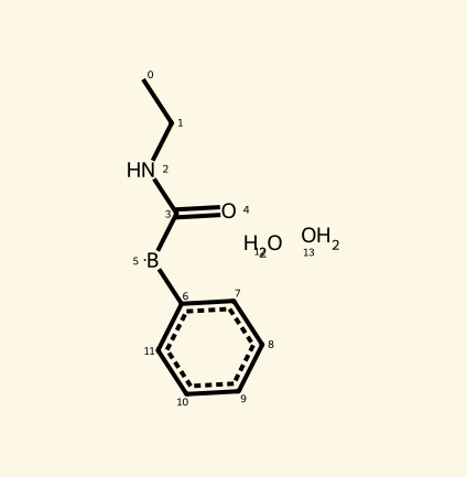 CCNC(=O)[B]c1ccccc1.O.O